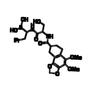 COc1c2c(c3c(c1OC)OCO3)CC(C(=O)NC(CO)C(=O)NC(CC(C)C)B(O)O)CC2